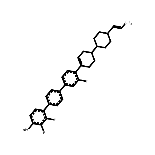 C/C=C/C1CCC(C2CC=C(c3ccc(-c4ccc(-c5ccc(CCC)c(F)c5F)cc4)cc3F)CC2)CC1